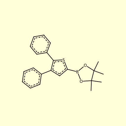 CC1(C)OB(c2cc(-c3ccccc3)c(-c3ccccc3)s2)OC1(C)C